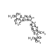 Cc1nc(/N=c2\[nH]c(-c3csc(/N=c4\[nH]c(C)c(C(=O)N(C)C)s4)n3)cs2)sc1C(=O)N(C)C